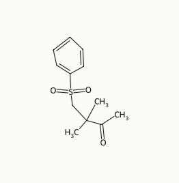 CC(=O)C(C)(C)CS(=O)(=O)c1ccccc1